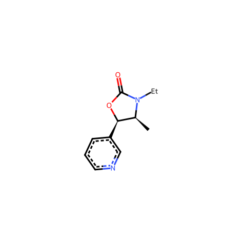 CCN1C(=O)O[C@H](c2cccnc2)[C@@H]1C